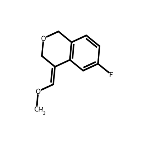 COC=C1COCc2ccc(F)cc21